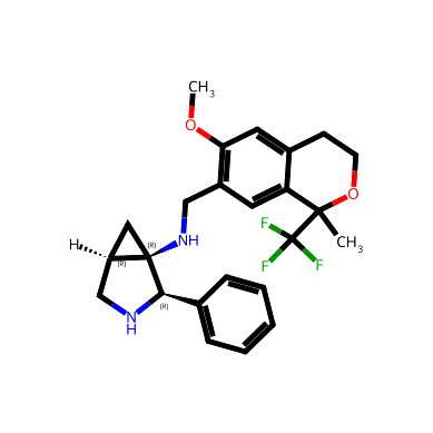 COc1cc2c(cc1CN[C@]13C[C@@H]1CN[C@@H]3c1ccccc1)C(C)(C(F)(F)F)OCC2